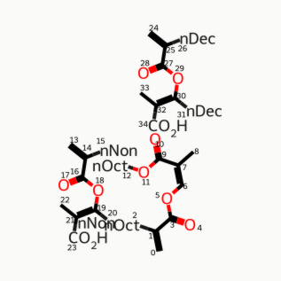 C=C(CCCCCCCC)C(=O)OC=C(C)C(=O)OCCCCCCCC.C=C(CCCCCCCCC)C(=O)OC(CCCCCCCCC)=C(C)C(=O)O.C=C(CCCCCCCCCC)C(=O)OC(CCCCCCCCCC)=C(C)C(=O)O